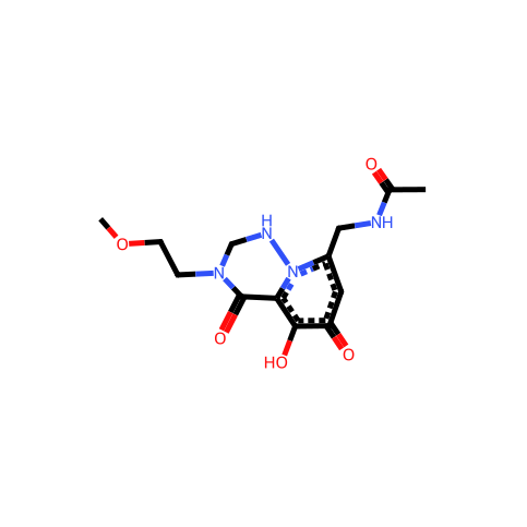 COCCN1CNn2c(CNC(C)=O)cc(=O)c(O)c2C1=O